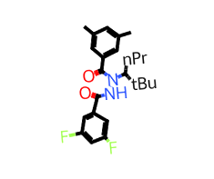 CCCC(N(NC(=O)c1cc(F)cc(F)c1)C(=O)c1cc(C)cc(C)c1)C(C)(C)C